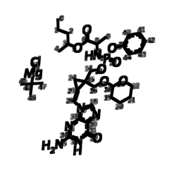 CCCC(C)OC(=O)C(C)N[P@](=O)(OCC1(COC2CCCCO2)C/C1=C/n1cnc2c(=O)[nH]c(N)nc21)Oc1ccccc1.C[C](C)(C)[Mg][Cl]